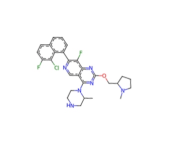 CC1CNCCN1c1nc(OCC2CCCN2C)nc2c(F)c(-c3cccc4ccc(F)c(Cl)c34)ncc12